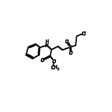 COC(=O)C(CCS(=O)(=O)CCCl)Nc1ccccc1